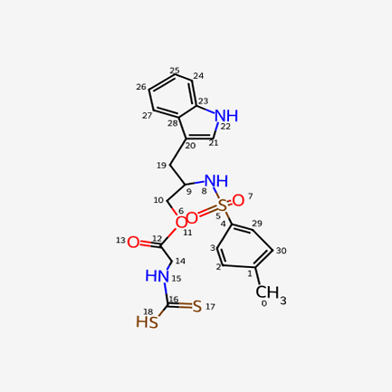 Cc1ccc(S(=O)(=O)NC(COC(=O)CNC(=S)S)Cc2c[nH]c3ccccc23)cc1